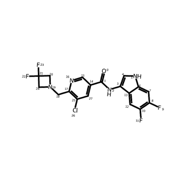 O=C(Nc1c[nH]c2cc(F)c(F)cc12)c1cnc(CN2CC(F)(F)C2)c(Cl)c1